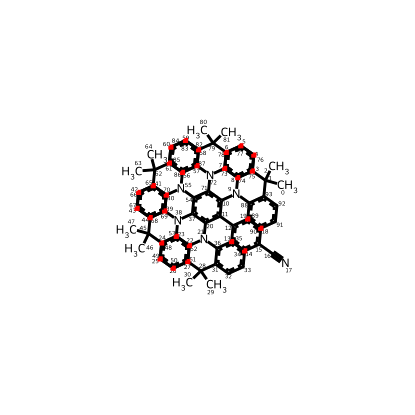 CC1(C)c2ccccc2N(c2c(-c3ccc(C#N)cc3)c(N3c4ccccc4C(C)(C)c4ccccc43)c(N3c4ccccc4C(C)(C)c4ccccc43)c(N3c4ccccc4C(C)(C)c4ccccc43)c2N2c3ccccc3C(C)(C)c3ccccc32)c2ccccc21